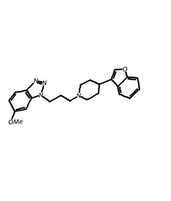 COc1ccc2nnn(CCCN3CCC(c4coc5ccccc45)CC3)c2c1